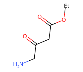 CCOC(=O)CC(=O)CN